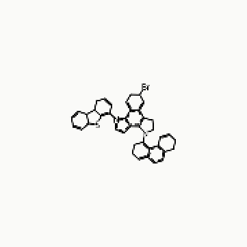 BrC1C=c2c3c(c4ccn(C5=C6SC7C=CC=CC7C6CC=C5)c4c2=CC1)N(C1=c2c4c(ccc2=CCC1)CCC=C4)CC3